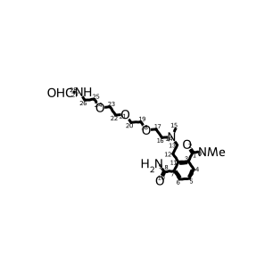 CNC(=O)c1cccc(C(N)=O)c1CCN(C)CCOCCOCCOCCNC=O